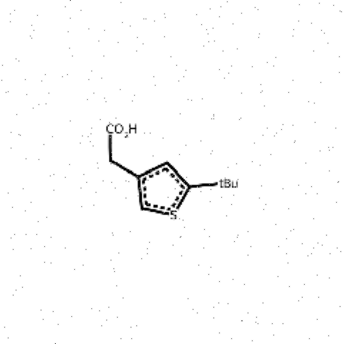 CC(C)(C)c1cc(CC(=O)O)cs1